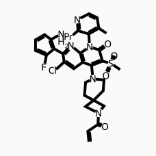 C=CC(=O)N1CC2(CCN(c3c(S(C)(=O)=O)c(=O)n(-c4c(C)ccnc4C(C)C)c4nc(-c5c(N)cccc5F)c(Cl)cc34)CC2)C1